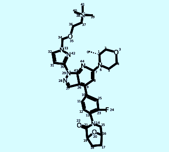 C[C@@H]1COCCN1c1cc(-c2ccc(N3CC4CCC(O4)C3=O)c(F)c2)c2cnn(-c3ccn(COCC[Si](C)(C)C)n3)c2n1